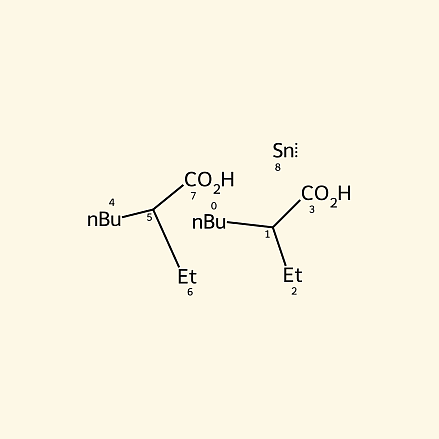 CCCCC(CC)C(=O)O.CCCCC(CC)C(=O)O.[Sn]